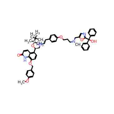 COc1ccc(COc2ccc([C@H](CNCCc3ccc(OCCCN(C)Cc4cnc(C(O)(c5ccccc5)c5ccccc5)o4)cc3)O[Si](C)(C)C(C)(C)C)c3ccc(=O)[nH]c23)cc1